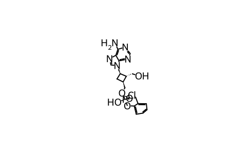 Nc1ncnc2c1ncn2[C@@H]1C[C@H](COP(=O)(O)Oc2ccccc2Cl)[C@H]1CO